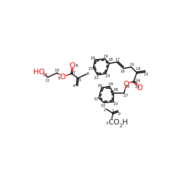 C=C(C)C(=O)O.C=C(C)C(=O)OCCO.C=C(CC=Cc1ccccc1)C(=O)OCc1ccccc1